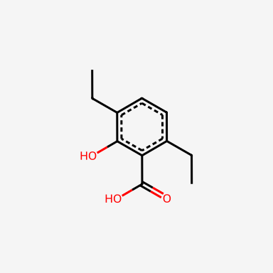 CCc1ccc(CC)c(C(=O)O)c1O